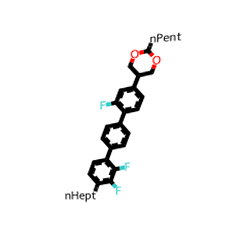 CCCCCCCc1ccc(-c2ccc(-c3ccc(C4COC(CCCCC)OC4)cc3F)cc2)c(F)c1F